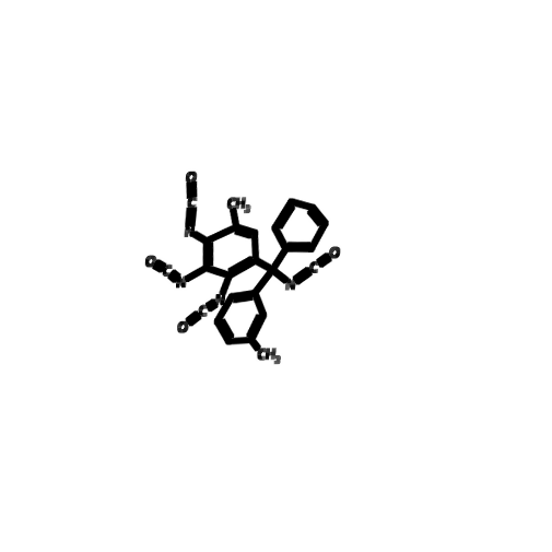 Cc1cccc(C(N=C=O)(c2ccccc2)c2cc(C)c(N=C=O)c(N=C=O)c2N=C=O)c1